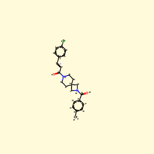 O=C(/C=C/c1ccc(Br)cc1)N1CCC2(CC1)CN(C(=O)c1ccc(C(F)(F)F)cc1)C2